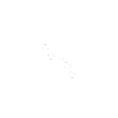 Cc1cc(-c2cccc(CC(=O)Nc3ccc(-c4ccccc4)nc3)n2)ccn1